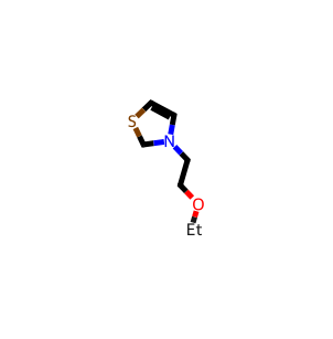 CCOCCN1C=CSC1